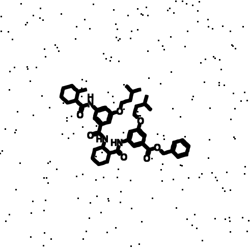 CC(C)CCOc1cc(NC(=O)C2CCCCC2C)cc(C(=O)NC2CCCCC2C(=O)Nc2cc(OCCC(C)C)cc(C(=O)OCc3ccccc3)c2)c1